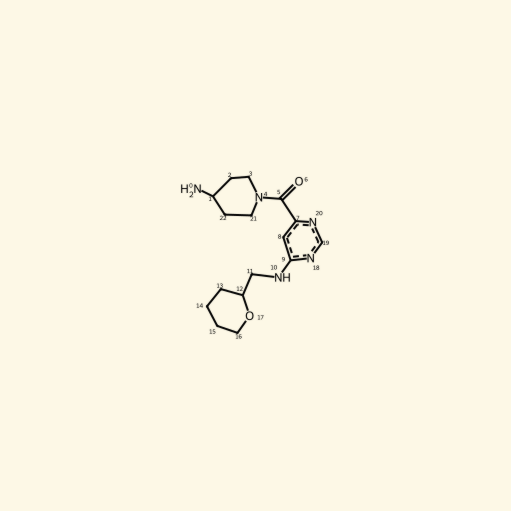 NC1CCN(C(=O)c2cc(NCC3CCCCO3)ncn2)CC1